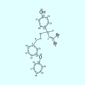 CC(C=C(Br)Br)(CCCc1cccc(Oc2ccccc2)c1)c1ccc(O)cc1